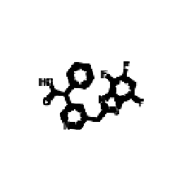 O=C(O)C(c1ccccc1)c1cncc(Cc2nc3c(F)c(F)cc(F)c3s2)c1